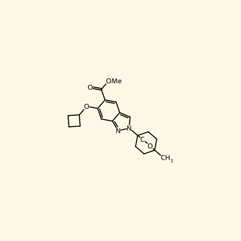 COC(=O)c1cc2cn(C34CCC(C)(CC3)OC4)nc2cc1OC1CCC1